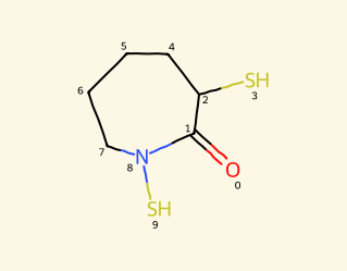 O=C1C(S)CCCCN1S